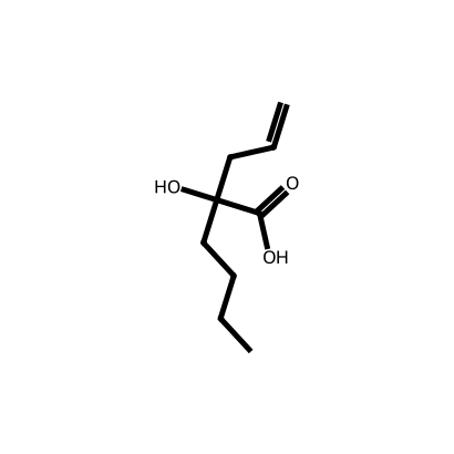 C=CCC(O)(CCCC)C(=O)O